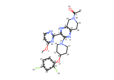 COc1ccnc(-c2nc3c(nc2N2CCC(Oc4ccc(F)cc4F)CC2)CCN(C(C)=O)C3)n1